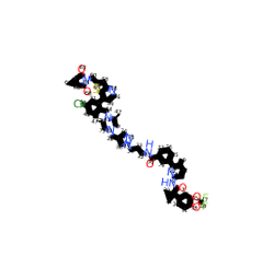 Cc1ccc(NC(=O)C2(c3ccc4c(c3)OC(F)(F)O4)CC2)nc1-c1cccc(C(=O)NCCCn2cc(CN3C[C@H](C)N(Cc4c(C)cc(Cl)cc4-c4ccnc5cc(CN6C(=O)C7CC7C6=O)sc45)[C@@H](C)C3)cn2)c1